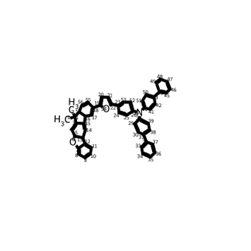 CC1(C)C2=CC3Oc4ccccc4C3C=C2C2C=C(c3ccc(-c4ccc(N(c5ccc(-c6ccccc6)cc5)c5ccc(-c6ccccc6)cc5)cc4)o3)C=CC21